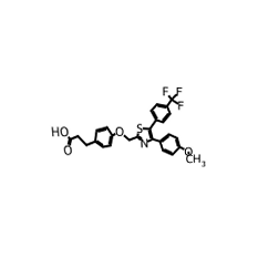 COc1ccc(-c2nc(COc3ccc(CCC(=O)O)cc3)sc2-c2ccc(C(F)(F)F)cc2)cc1